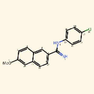 COc1ccc2cc(C(=N)Nc3ccc(Cl)cc3)ccc2c1